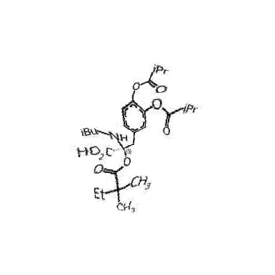 CCC(C)N[C@@](Cc1ccc(OC(=O)C(C)C)c(OC(=O)C(C)C)c1)(OC(=O)C(C)(C)CC)C(=O)O